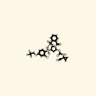 N#CC1(NC(=O)O[C@H]2C[C@@H](S(=O)(=O)c3ccc(OCC(F)(F)F)cc3Cl)CN2C(=O)c2ccccc2C(F)(F)F)CC1